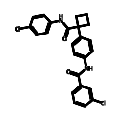 O=C(Nc1ccc(C2(C(=O)Nc3ccc(Cl)cc3)CCC2)cc1)c1cccc(Cl)c1